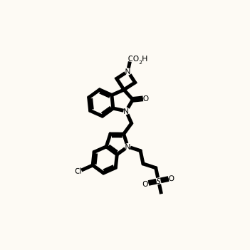 CS(=O)(=O)CCCn1c(CN2C(=O)C3(CN(C(=O)O)C3)c3ccccc32)cc2cc(Cl)ccc21